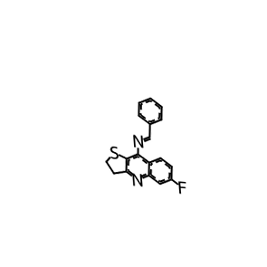 Fc1ccc2c(N=Cc3ccccc3)c3c(nc2c1)CCS3